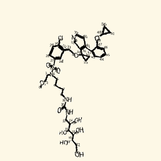 COCCN(CCCCNC(=O)NC[C@@H](O)[C@H](O)[C@@H](O)[C@@H](O)CO)S(=O)(=O)c1ccc(Cl)c(COC2(c3cnccc3-c3ccccc3OC3CC3)CC2)c1